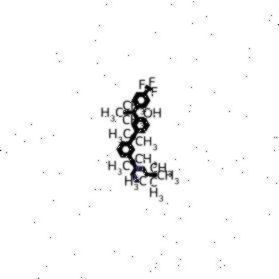 C/C=C\C(=C/CC(C)(C)C)C(C)(C)c1cccc(C(C)(C)c2ccc(O)c(C(c3ccc(C(F)(F)F)cc3)C(C)(C)C)c2)c1